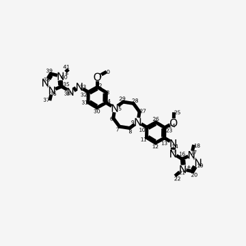 COc1cc(N2CCCN(c3ccc(N=Nc4n(C)nc[n+]4C)c(OC)c3)CCC2)ccc1N=Nc1n(C)nc[n+]1C